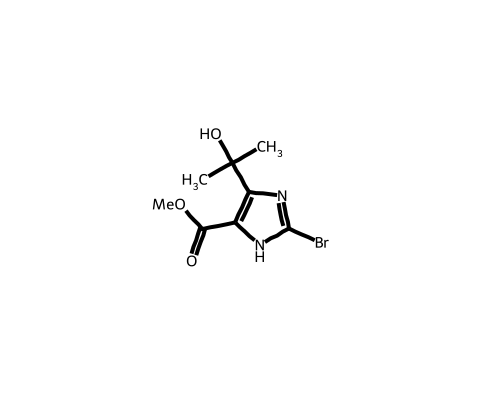 COC(=O)c1[nH]c(Br)nc1C(C)(C)O